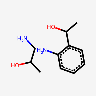 CC(O)CN.CC(O)c1ccccc1N